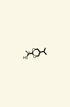 CC(C)C1COC([C@H](C)S)OC1